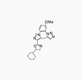 COc1ccc2c(c1)-n1nncc1Cc1c(C3=NCC(C4CCCCC4)O3)ncn1-2